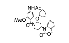 COc1cc(NC(C)=O)ccc1C(=O)N1CC[C@H](N2C(=O)OCc3ccccc32)C[C@@H]1OC1CCCCC1